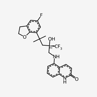 CC(C)(C[C@](O)(CNc1cccc2[nH]c(=O)ccc12)C(F)(F)F)c1cc(F)cc2c1OCC2